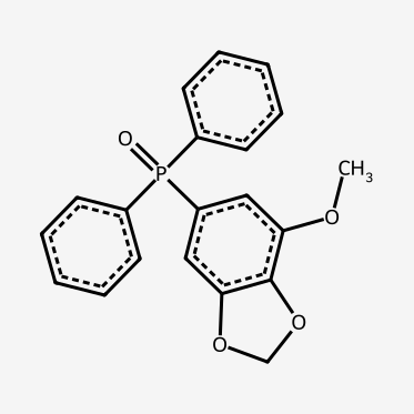 COc1cc(P(=O)(c2ccccc2)c2ccccc2)cc2c1OCO2